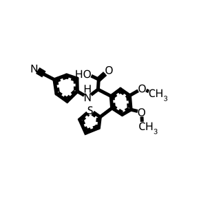 COc1cc(-c2cccs2)c(C(Nc2ccc(C#N)cc2)C(=O)O)cc1OC